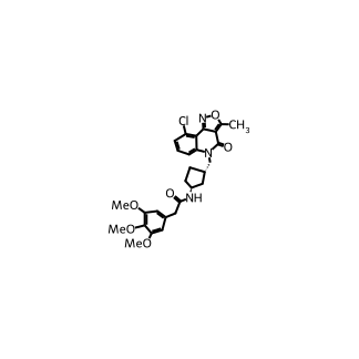 COc1cc(CC(=O)N[C@@H]2CC[C@H](Cn3c(=O)c4c(C)onc4c4c(Cl)cccc43)C2)cc(OC)c1OC